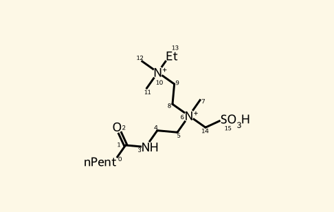 CCCCCC(=O)NCC[N+](C)(CC[N+](C)(C)CC)CS(=O)(=O)O